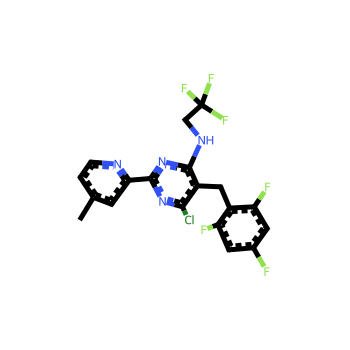 Cc1ccnc(-c2nc(Cl)c(Cc3c(F)cc(F)cc3F)c(NCC(F)(F)F)n2)c1